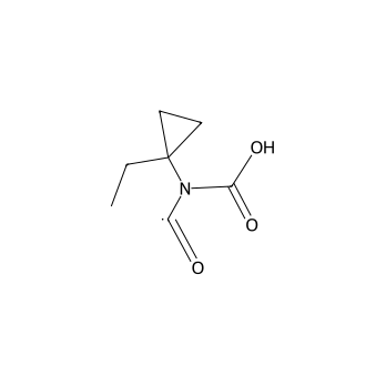 CCC1(N([C]=O)C(=O)O)CC1